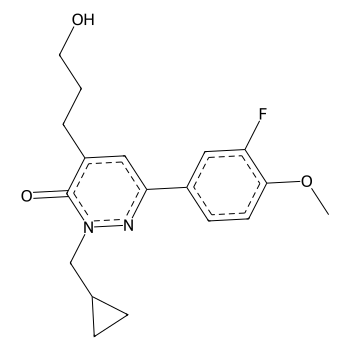 COc1ccc(-c2cc(CCCO)c(=O)n(CC3CC3)n2)cc1F